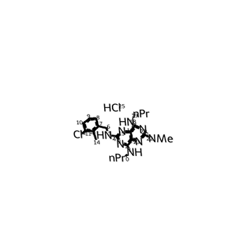 CCCNc1nc(NCc2cccc(Cl)c2C)nc2c(NCCC)nc(NC)nc12.Cl